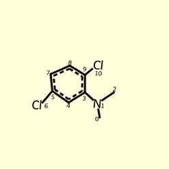 CN(C)c1cc(Cl)ccc1Cl